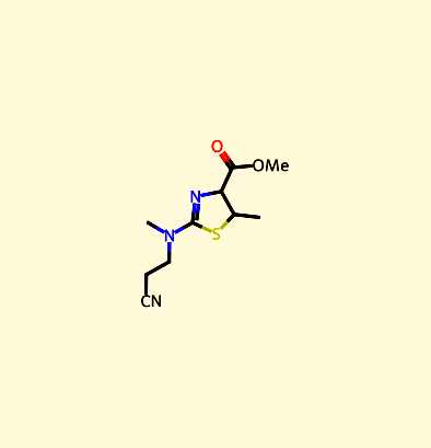 COC(=O)C1N=C(N(C)CCC#N)SC1C